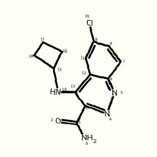 NC(=O)c1nnc2ccc(Cl)cc2c1NC1CCC1